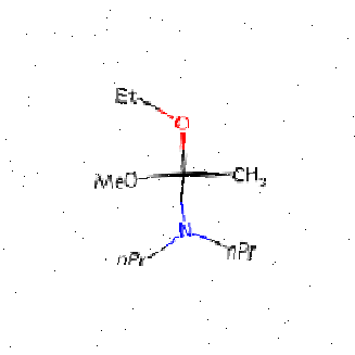 CCCN(CCC)C(C)(OC)OCC